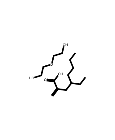 C=C(CC(CC)CCCC)C(=O)O.OCCOCCO